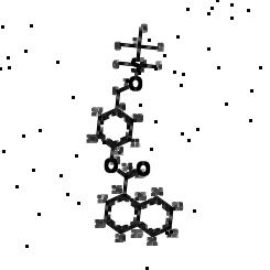 CC(C)(C)[Si](C)(C)OCc1ccc(OC(=O)c2cccc3ccccc23)cc1